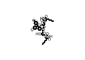 CCCCCc1cn([C@H]2C[C@H](OCOC[C@H]3O[C@@H](n4cc(CCCCC)c(=O)[nH]c4=O)C[C@@H]3O)[C@@H](COC(c3ccccc3)(c3ccc(OC)cc3)c3ccc(OC)cc3)O2)c(=O)[nH]c1=O